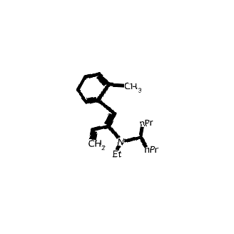 C=C/C(=C\C1=CCCC=C1C)N(CC)C(CCC)CCC